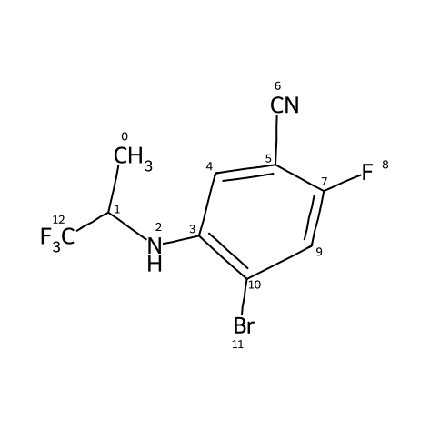 CC(Nc1cc(C#N)c(F)cc1Br)C(F)(F)F